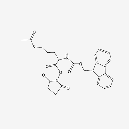 CC(=O)SCCCC(NC(=O)OCC1c2ccccc2-c2ccccc21)C(=O)ON1C(=O)CCC1=O